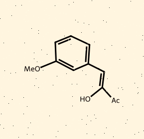 COc1cccc(C=C(O)C(C)=O)c1